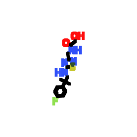 CC(C)(CNc1nc(CNC(=O)CO)ns1)c1ccc(F)cc1